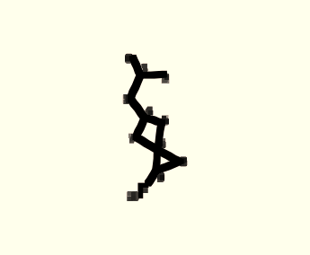 CC(C)CC1CC2(C1)CC2F